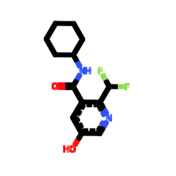 O=C(NC1CCCCC1)c1cc(O)cnc1C(F)F